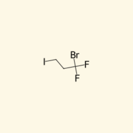 FC(F)(Br)CCI